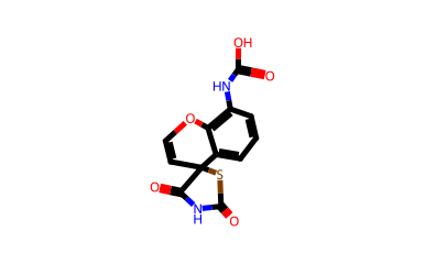 O=C(O)Nc1cccc2c1OC=CC21SC(=O)NC1=O